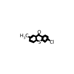 CC1=CC2C(=O)c3ccc(Cl)cc3SC2C=C1